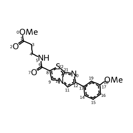 COC(=O)CCNC(=O)c1cn2cc(-c3cccc(OC)c3)nc2s1